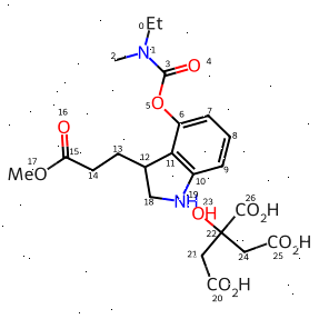 CCN(C)C(=O)Oc1cccc2c1C(CCC(=O)OC)CN2.O=C(O)CC(O)(CC(=O)O)C(=O)O